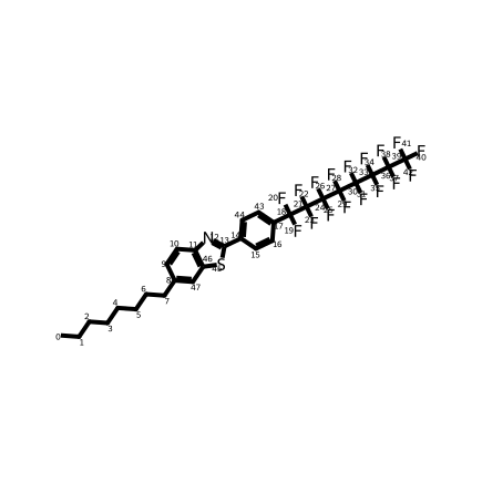 CCCCCCCCc1ccc2nc(-c3ccc(C(F)(F)C(F)(F)C(F)(F)C(F)(F)C(F)(F)C(F)(F)C(F)(F)C(F)(F)F)cc3)sc2c1